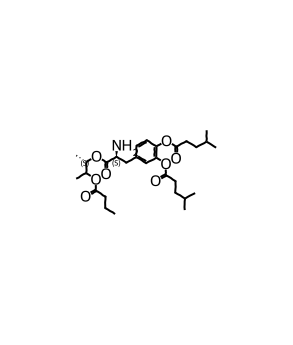 CCCC(=O)OC(C)[C@H](C)OC(=O)[C@@H](N)Cc1ccc(OC(=O)CCC(C)C)c(OC(=O)CCC(C)C)c1